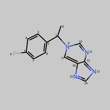 CC(c1ccc(F)cc1)n1cnc2ncnc-2c1